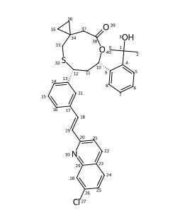 CC(C)(O)c1ccccc1[C@@H]1C[C@H](c2cccc(/C=C/c3ccc4ccc(Cl)cc4n3)c2)SCC2(CC2)CC(=O)O1